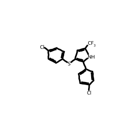 FC(F)(F)c1cc(Sc2ccc(Cl)cc2)c(-c2ccc(Cl)cc2)[nH]1